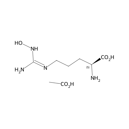 CC(=O)O.NC(=NCCC[C@H](N)C(=O)O)NO